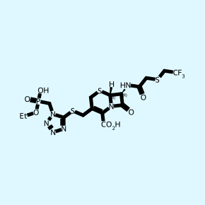 CCOP(=O)(O)Cn1nnnc1SCC1=C(C(=O)O)N2C(=O)[C@@H](NC(=O)CSCC(F)(F)F)[C@H]2SC1